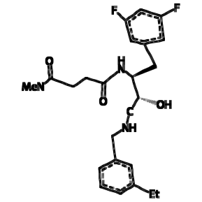 CCc1cccc(CNC[C@@H](O)[C@H](Cc2cc(F)cc(F)c2)NC(=O)CCC(=O)NC)c1